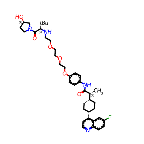 C[C@@H](C(=O)Nc1ccc(OCCOCCOCCN[C@H](C(=O)N2CC[C@@H](O)C2)C(C)(C)C)cc1)[C@H]1CC[C@@H](c2ccnc3ccc(F)cc32)CC1